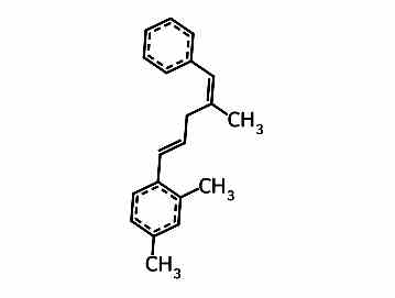 CC(=Cc1ccccc1)CC=Cc1ccc(C)cc1C